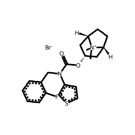 C[N+]1(C)[C@@H]2CC[C@H]1C[C@@H](OC(=O)N(Cc1ccccc1F)c1ccsc1)C2.[Br-]